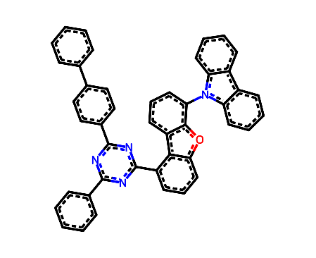 c1ccc(-c2ccc(-c3nc(-c4ccccc4)nc(-c4cccc5oc6c(-n7c8ccccc8c8ccccc87)cccc6c45)n3)cc2)cc1